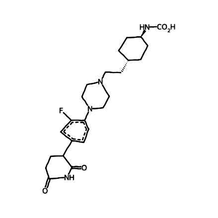 O=C1CCC(c2ccc(N3CCN(CC[C@H]4CC[C@H](NC(=O)O)CC4)CC3)c(F)c2)C(=O)N1